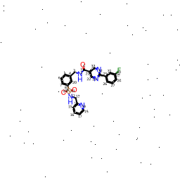 O=C(NCc1cccc(S(=O)(=O)NCc2ccccn2)c1)c1cnc(-c2cccc(F)c2)nc1